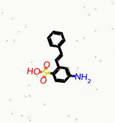 Nc1ccc(S(=O)(=O)O)c(C=Cc2ccccc2)c1